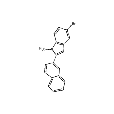 Cn1c(-c2ccc3ccccc3c2)cc2cc(Br)ccc21